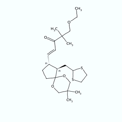 CCOCC(C)(C)C(=O)C=C[C@H]1CCC2(OCC(C)(C)CO2)[C@@H]1CC1SCCS1